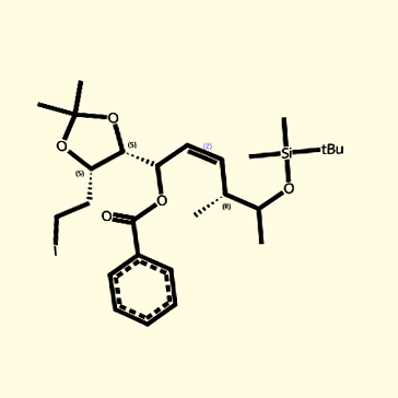 CC(O[Si](C)(C)C(C)(C)C)[C@H](C)/C=C\C(OC(=O)c1ccccc1)[C@H]1OC(C)(C)O[C@H]1CCI